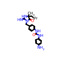 CC(C)CC1(C)NC(=N)N(Cc2ccc(NC(=O)Nc3ccc(N)cc3)cc2)C1=O